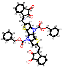 O=C1C(=O)c2ccccc2/C1=C/c1cc2c(s1)c1c(c3sc(/C=C4\C(=O)C(=O)c5ccccc54)cc3n1C(=O)OCc1ccccc1)n2C(=O)OCc1ccccc1